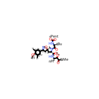 CCCC(C)OC(=O)N[C@H](C(=O)N1C[C@@]2(CC(c3cc(C)c(OCC)c(C)c3)=NO2)C[C@H]1C(=O)N[C@@H](CCC)C(=O)C(=O)NC)C(C)(C)C